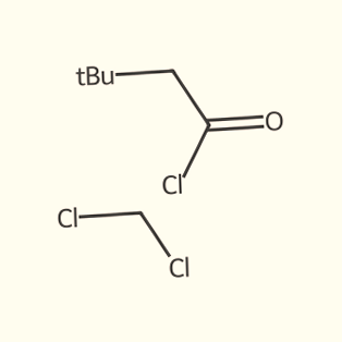 CC(C)(C)CC(=O)Cl.ClCCl